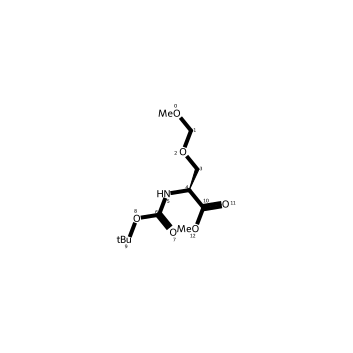 COCOC[C@H](NC(=O)OC(C)(C)C)C(=O)OC